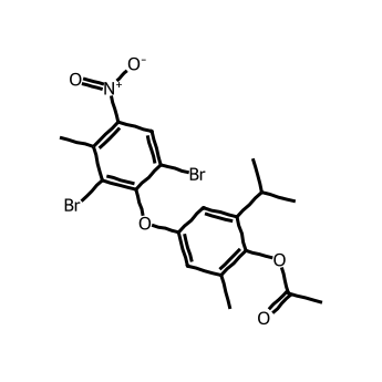 CC(=O)Oc1c(C)cc(Oc2c(Br)cc([N+](=O)[O-])c(C)c2Br)cc1C(C)C